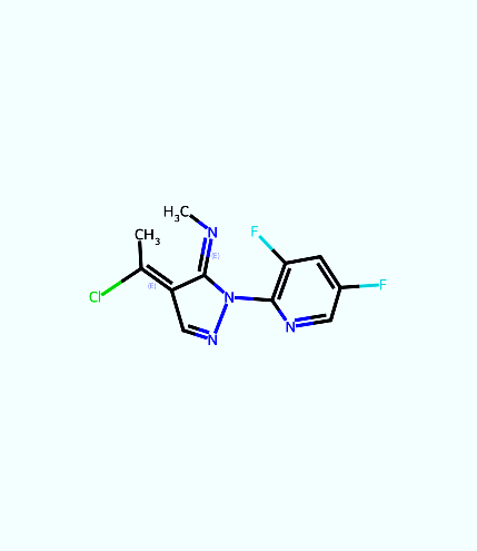 C/N=C1\C(=C(/C)Cl)C=NN1c1ncc(F)cc1F